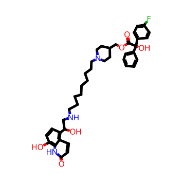 O=C(OCC1CCN(CCCCCCCCCNCC(O)c2ccc(O)c3[nH]c(=O)ccc23)CC1)C(O)(c1ccccc1)c1ccc(F)cc1